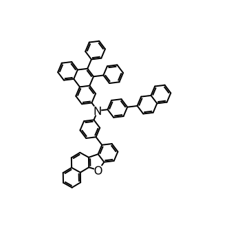 c1ccc(-c2c(-c3ccccc3)c3cc(N(c4ccc(-c5ccc6ccccc6c5)cc4)c4cccc(-c5cccc6oc7c8ccccc8ccc7c56)c4)ccc3c3ccccc23)cc1